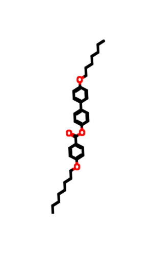 CCCCCCCCOc1ccc(C(=O)Oc2ccc(-c3ccc(OCCCCCCC)cc3)cc2)cc1